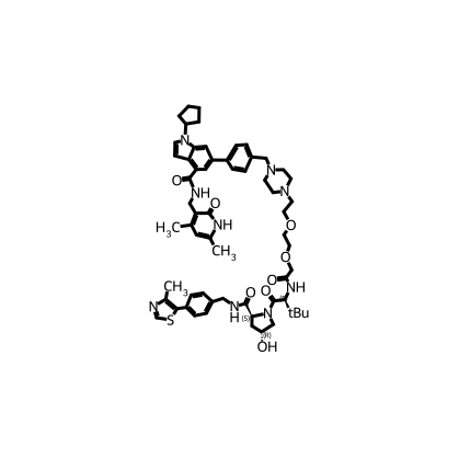 Cc1cc(C)c(CNC(=O)c2cc(-c3ccc(CN4CCN(CCOCCOCC(=O)N[C@H](C(=O)N5C[C@H](O)C[C@H]5C(=O)NCc5ccc(-c6scnc6C)cc5)C(C)(C)C)CC4)cc3)cc3c2ccn3C2CCCC2)c(=O)[nH]1